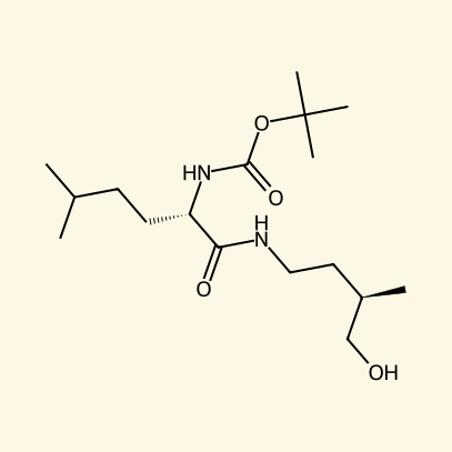 CC(C)CC[C@H](NC(=O)OC(C)(C)C)C(=O)NCC[C@@H](C)CO